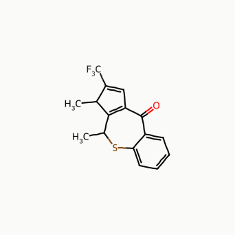 CC1Sc2ccccc2C(=O)C2=C1C(C)C(C(F)(F)F)=C2